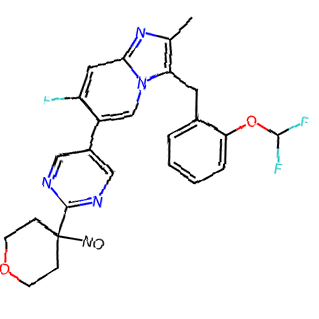 Cc1nc2cc(F)c(-c3cnc(C4(N=O)CCOCC4)nc3)cn2c1Cc1ccccc1OC(F)F